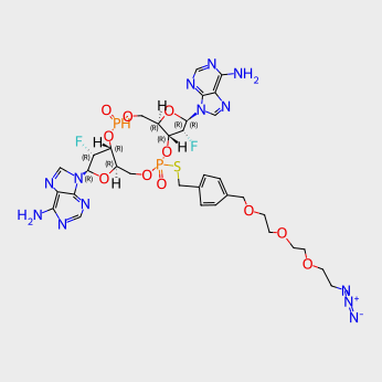 [N-]=[N+]=NCCOCCOCCOCc1ccc(CSP2(=O)OC[C@H]3O[C@@H](n4cnc5c(N)ncnc54)[C@H](F)[C@@H]3O[PH](=O)OC[C@H]3O[C@@H](n4cnc5c(N)ncnc54)[C@H](F)[C@@H]3O2)cc1